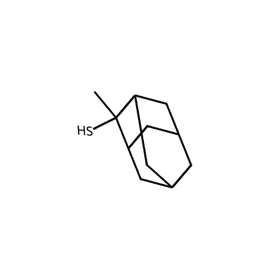 CC1(S)C2CC3CC(C2)CC1C3